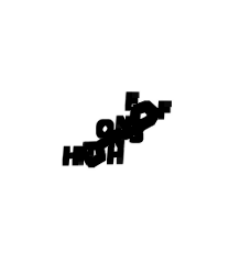 O=C(Nc1nc2c(F)cc(F)cc2s1)C1CCNC1